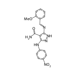 COc1ccccc1/C=N/c1[nH]nc(Nc2ccc([N+](=O)[O-])cc2)c1C(N)=O